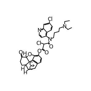 CCN(CC)CCCCN(C(=O)C(Cl)C(=O)Oc1ccc2c3c1O[C@H]1C(=O)CC[C@H]4[C@H](CCC[C@]314)C2)c1ccnc2cc(Cl)ccc12